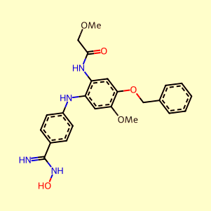 COCC(=O)Nc1cc(OCc2ccccc2)c(OC)cc1Nc1ccc(C(=N)NO)cc1